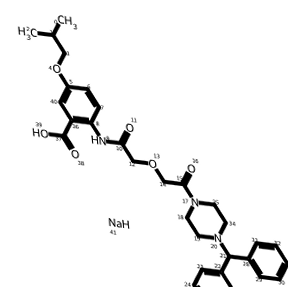 CC(C)COc1ccc(NC(=O)COCC(=O)N2CCN(C(c3ccccc3)c3ccccc3)CC2)c(C(=O)O)c1.[NaH]